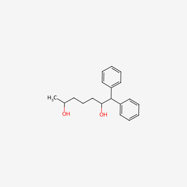 CC(O)CCCC(O)C(c1ccccc1)c1ccccc1